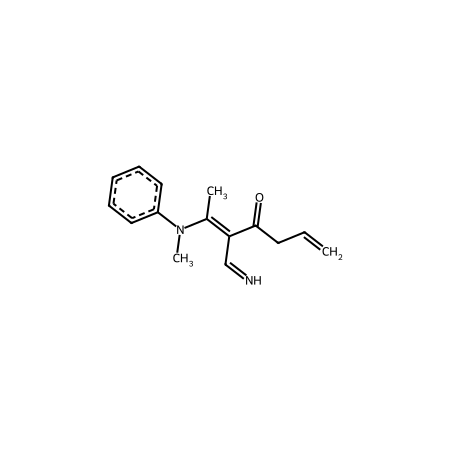 C=CCC(=O)/C(C=N)=C(\C)N(C)c1ccccc1